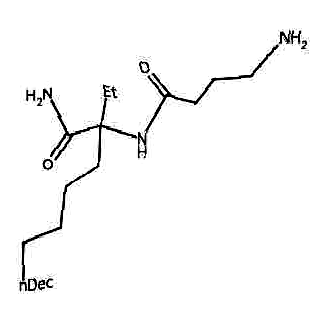 CCCCCCCCCCCCCCC(CC)(NC(=O)CCCN)C(N)=O